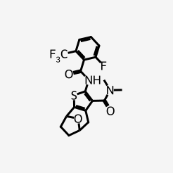 CN(C)C(=O)c1c(NC(=O)c2c(F)cccc2C(F)(F)F)sc2c1CC1CCC2O1